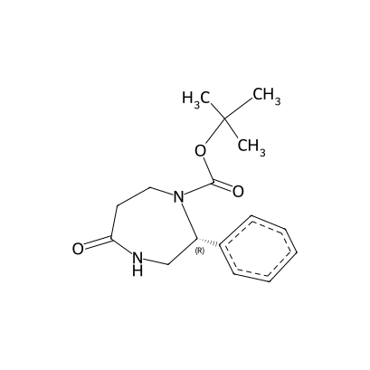 CC(C)(C)OC(=O)N1CCC(=O)NC[C@H]1c1ccccc1